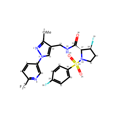 COc1nn(-c2ccc(C(F)(F)F)nc2)cc1CNC(=O)[C@@H]1[C@@H](F)CCN1S(=O)(=O)c1ccc(F)cc1